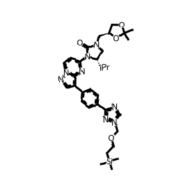 CC(C)[C@H]1CN(C[C@H]2COC(C)(C)O2)C(=O)N1c1ccn2ncc(-c3ccc(-c4ncn(COCC[Si](C)(C)C)n4)cc3)c2n1